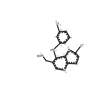 CNCc1cnc2ccc(Cl)nc2c1Nc1cccc(C(F)(F)F)c1